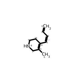 C=C/C=C\C1=C(C)CNCC1